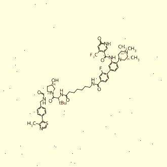 Cc1ncsc1-c1ccc(CNC(=O)[C@@H]2C[C@@H](O)CN2C(=O)C(NC(=O)CCCCCCNC(=O)c2ccc(-c3ccc(N4C[C@@H](C)N(C)[C@@H](C)C4)c(NC(=O)c4c[nH]c(=O)cc4C(F)(F)F)c3)c(F)c2)C(C)(C)C)cc1